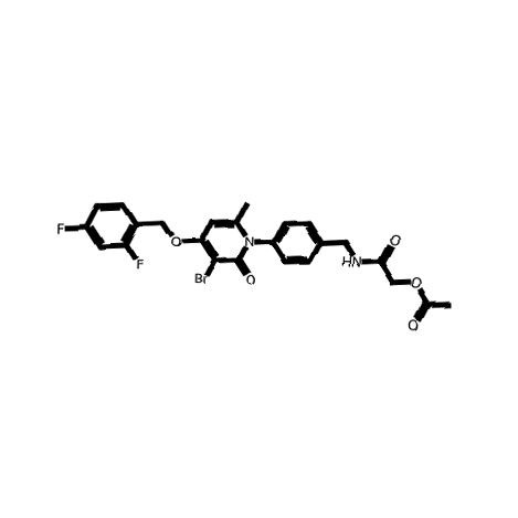 CC(=O)OCC(=O)NCc1ccc(-n2c(C)cc(OCc3ccc(F)cc3F)c(Br)c2=O)cc1